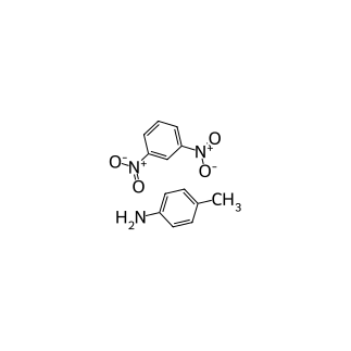 Cc1ccc(N)cc1.O=[N+]([O-])c1cccc([N+](=O)[O-])c1